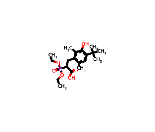 CCOP(=O)(OCC)C(Cc1c(C)cc(C(C)(C)C)c(O)c1C)C(=O)O